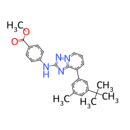 COC(=O)c1ccc(Nc2nc3c(-c4cc(C)cc(C(C)(C)C)c4)cccn3n2)cc1